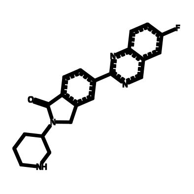 O=C1c2ccc(-c3ncc4cc(F)ccc4n3)cc2CN1C1CCCNC1